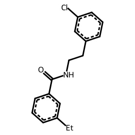 CCc1cccc(C(=O)NCCc2cccc(Cl)c2)c1